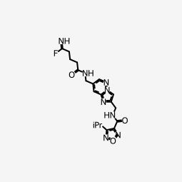 CC(C)c1nonc1C(=O)NCc1cn2ncc(CNC(=O)CCCC(=N)F)cc2n1